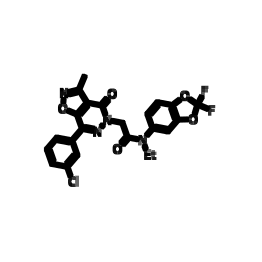 CCN(C(=O)Cn1nc(-c2cccc(Cl)c2)c2onc(C)c2c1=O)c1ccc2c(c1)OC(F)(F)O2